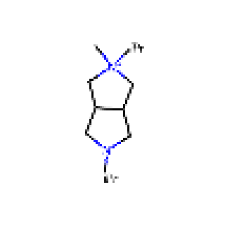 CC(C)N1CC2C[N+](C)(C(C)C)CC2C1